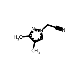 Cc1cn(CC#N)nc1C